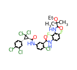 CCOC(C)(C)C(=O)Nc1c(F)ccc(NC(=O)c2cc(NC(=O)[C@H]3[C@H](c4ccc(Cl)c(Cl)c4)C3(Cl)Cl)ccc2Cl)c1F